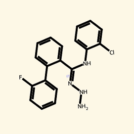 NN/N=C(\Nc1ccccc1Cl)c1ccccc1-c1ccccc1F